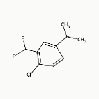 CC(C)c1ccc(Cl)c(C(F)F)c1